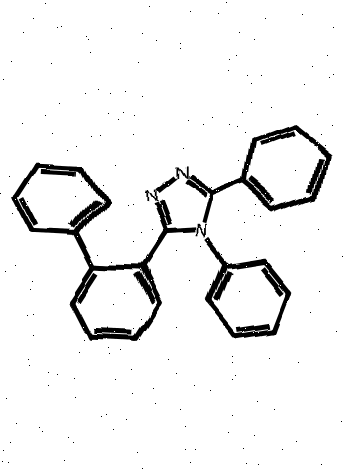 c1ccc(-c2ccccc2-c2nnc(-c3ccccc3)n2-c2ccccc2)cc1